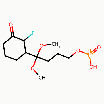 COC(CCCO[PH](=O)O)(OC)C1CCCC(=O)C1F